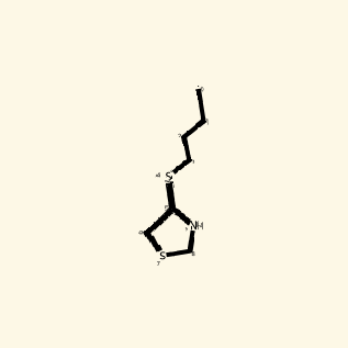 [CH2]CCCSC1CSCN1